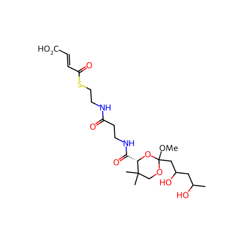 COC1(CC(O)CC(C)O)OCC(C)(C)[C@H](C(=O)NCCC(=O)NCCSC(=O)/C=C/C(=O)O)O1